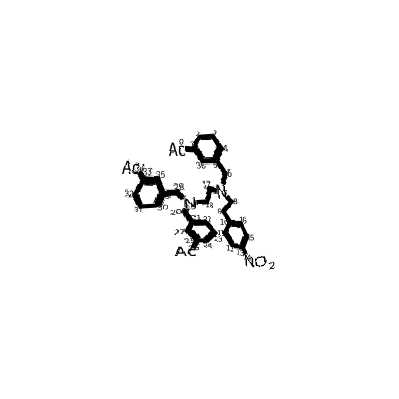 CC(=O)c1cccc(CN(CCc2ccc([N+](=O)[O-])cc2)CCN(Cc2cccc(C(C)=O)c2)Cc2cccc(C(C)=O)c2)c1